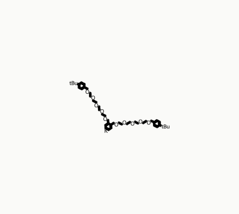 CC(C)(C)c1ccc(COCCOCCOCCOCCOCc2ccccc2COCCOCCOCCOCCOCc2ccc(C(C)(C)C)cc2)cc1.[K]